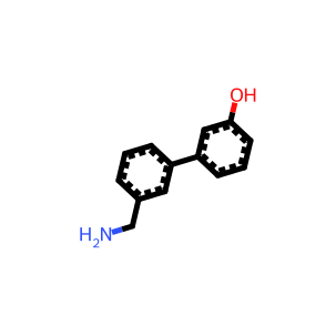 NCc1cccc(-c2cccc(O)c2)c1